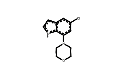 Clc1cc(N2CCOCC2)c2[nH]ccc2c1